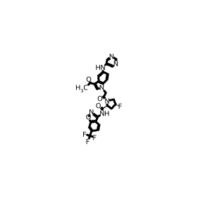 CC(=O)c1cn(CC(=O)N2C[C@H](F)C[C@H]2C(=O)Nc2noc3cc(C(F)(F)F)ccc23)c2ccc(Nc3cncnc3)cc12